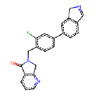 O=C1c2cccnc2CN1Cc1ccc(-c2ccc3c(c2)CN=C3)cc1F